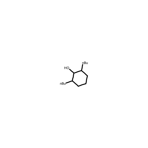 CCCCC1CCCC(CCCC)C1O